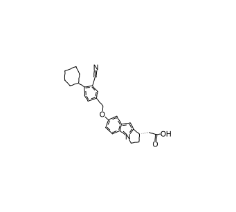 N#Cc1cc(COc2ccc3c(c2)cc2n3CC[C@H]2CC(=O)O)ccc1C1CCCCC1